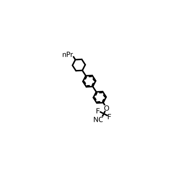 CCCC1CCC(c2ccc(-c3ccc(OC(F)(F)C#N)cc3)cc2)CC1